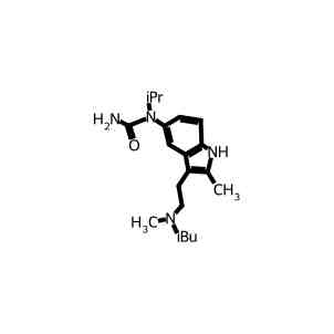 CCC(C)N(C)CCc1c(C)[nH]c2ccc(N(C(N)=O)C(C)C)cc12